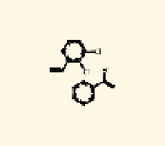 C=C(Br)c1ccccc1.C=Cc1cccc(Cl)c1Cl